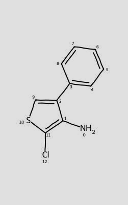 Nc1c(-c2ccccc2)csc1Cl